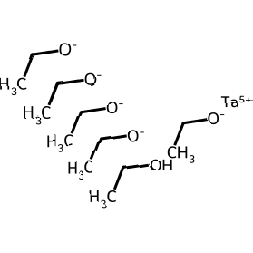 CCO.CC[O-].CC[O-].CC[O-].CC[O-].CC[O-].[Ta+5]